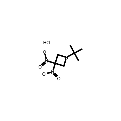 CC(C)(C)N1CC([N+](=O)[O-])([N+](=O)[O-])C1.Cl